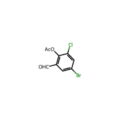 CC(=O)Oc1c(Cl)cc(Br)cc1C=O